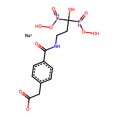 O=C([O-])Cc1ccc(C(=O)NCCC(O)([PH](=O)OO)[PH](=O)OO)cc1.[Na+]